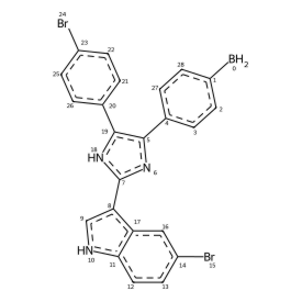 Bc1ccc(-c2nc(-c3c[nH]c4ccc(Br)cc34)[nH]c2-c2ccc(Br)cc2)cc1